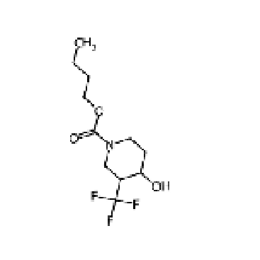 CCCCOC(=O)N1CCC(O)C(C(F)(F)F)C1